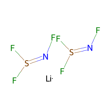 FN=S(F)F.FN=S(F)F.[Li]